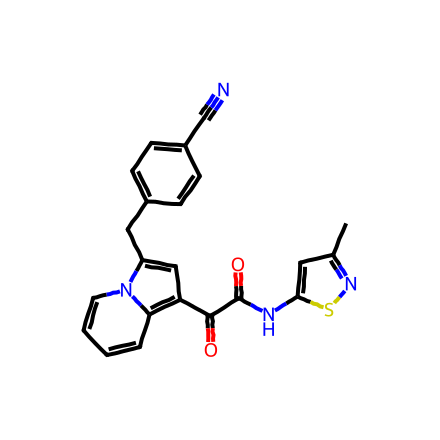 Cc1cc(NC(=O)C(=O)c2cc(Cc3ccc(C#N)cc3)n3ccccc23)sn1